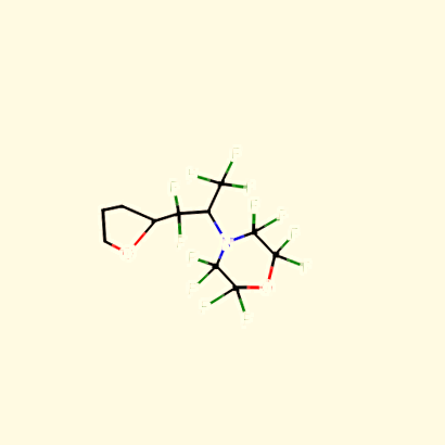 FC(F)(F)C(N1C(F)(F)C(F)(F)OC(F)(F)C1(F)F)C(F)(F)C1CCCO1